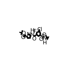 CC1(NS(=O)(=O)c2cc(Cl)c(F)c(C(=O)Nc3ccn(C(=O)OC(C)(C)C)n3)c2)CC1